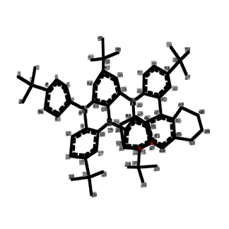 CC(C)(C)c1ccc(N2c3ccc(C(C)(C)C)cc3B3c4cc(C(C)(C)C)ccc4N(c4ccc(C(C)(C)C)cc4-c4c5c(cc6c4CCCC6)CCCC5)c4cc(C(C)(C)C)cc2c43)cc1